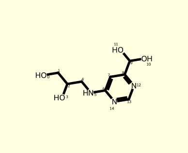 OCC(O)CNc1cc(C(O)O)ncn1